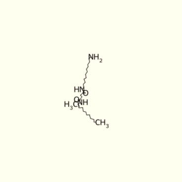 CCCCCCCCCC=C(C)NC(=O)CCC(=O)NCCCCCCCCCCCCN